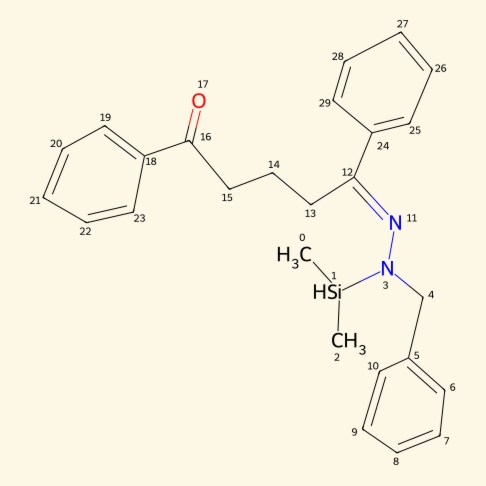 C[SiH](C)N(Cc1ccccc1)N=C(CCCC(=O)c1ccccc1)c1ccccc1